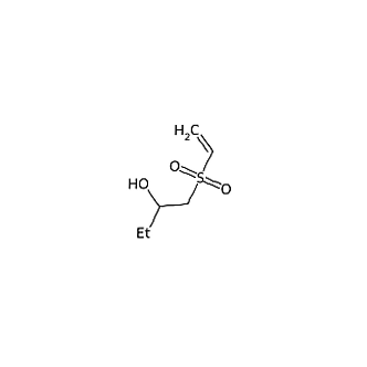 C=CS(=O)(=O)CC(O)CC